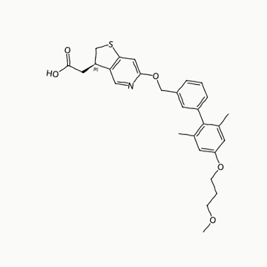 COCCCOc1cc(C)c(-c2cccc(COc3cc4c(cn3)[C@@H](CC(=O)O)CS4)c2)c(C)c1